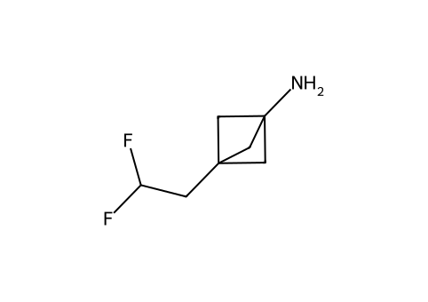 NC12CC(CC(F)F)(C1)C2